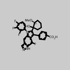 CO[C@H]1CCCCC1(O)c1c(-c2ccc(C(=O)O)cc2)c2c(F)c3[nH]ncc3cc2n1-c1ccc(F)c(F)c1F